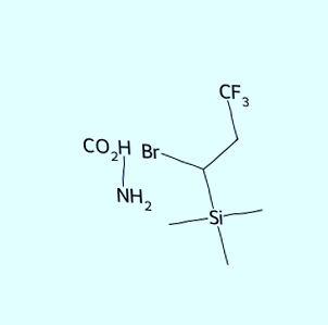 C[Si](C)(C)C(Br)CC(F)(F)F.NC(=O)O